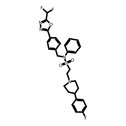 O=S(=O)(CCN1CCC(c2ccc(F)cc2)CC1)N(Cc1ccc(-c2nnc(C(F)F)o2)cc1)c1ccccc1